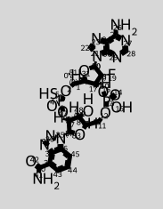 C[C@H]1OP(=O)(S)O[C@@H]2[C@H](O)[C@@H](COP(=O)(O)O[C@H]3[C@@H](F)[C@H](n4cnc5c(N)ncnc54)O[C@@H]31)O[C@H]2n1nnc2c(C(N)=O)cccc21